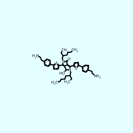 CCCCCC(CC)CN1C(c2ccc(-c3ccc(CCN)cc3)s2)=C2C(=O)N(CC(CC)CCCC)C(c3ccc(-c4ccc(CCN)cc4)s3)=C2C1O